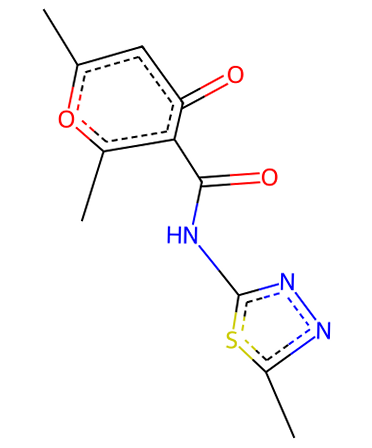 Cc1cc(=O)c(C(=O)Nc2nnc(C)s2)c(C)o1